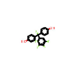 Oc1ccc(C(F)(c2ccc(O)cc2)c2cc(F)c(F)c(F)c2F)cc1